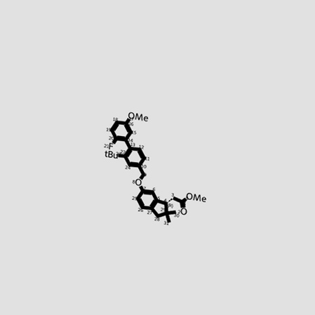 COC(=O)C[C@H]1c2cc(OCc3ccc(-c4cc(OC)ccc4F)c(C(C)(C)C)c3)ccc2CC1(C)C